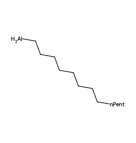 CCCCCCCCCCCC[CH2][AlH2]